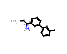 Cc1cccc(-c2cccc([C@@H](N)CC(=O)O)c2)c1